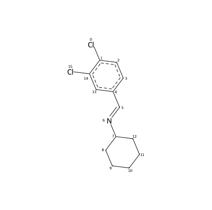 Clc1ccc(C=NC2CCCCC2)cc1Cl